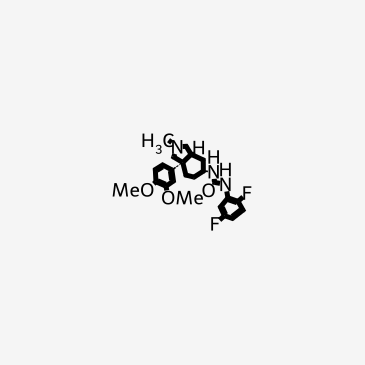 COc1ccc([C@@]23CC[C@@H](NC(=O)Nc4cc(F)ccc4F)C[C@@H]2CN(C)C3)cc1OC